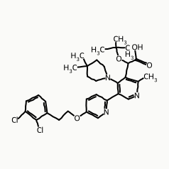 Cc1ncc(-c2ccc(OCCc3cccc(Cl)c3Cl)cn2)c(N2CCC(C)(C)CC2)c1C(OC(C)(C)C)C(=O)O